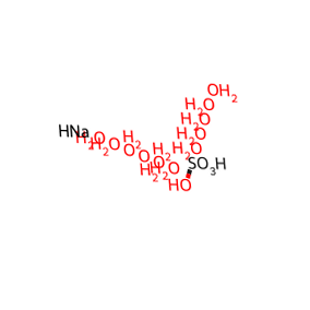 O.O.O.O.O.O.O.O.O.O.O.O=S(=O)(O)O.[NaH]